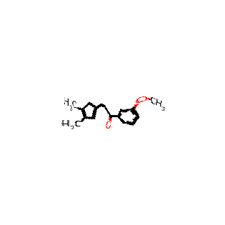 COc1cccc(C(=O)CC2=CC(C)=C(C)C2)c1